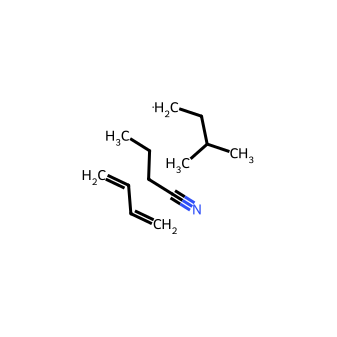 C=CC=C.CCCC#N.[CH2]CC(C)C